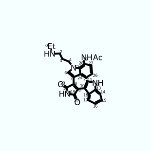 CCNCCCn1cc(C2=C(c3c[nH]c4ccccc34)C(=O)NC2=O)c2cccc(NC(C)=O)c21